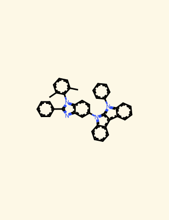 Cc1cccc(C)c1-n1c(-c2ccccc2)nc2cc(-n3c4ccccc4c4c5ccccc5n(-c5ccccc5)c43)ccc21